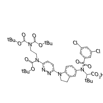 CC(C)(C)OC(=O)N(CCN(C(=O)OC(C)(C)C)c1ccc(N2CCc3cc(N(C(C(=O)O)C(C)(C)C)S(=O)(=O)c4cc(Cl)cc(Cl)c4)ccc32)nn1)C(=O)OC(C)(C)C